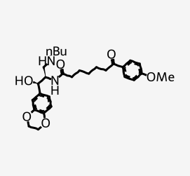 CCCCNC[C@@H](NC(=O)CCCCCC(=O)c1ccc(OC)cc1)[C@H](O)c1ccc2c(c1)OCCO2